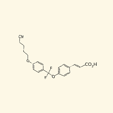 N#CCCCCOc1ccc(C(F)(F)Oc2ccc(/C=C/C(=O)O)cc2)cc1